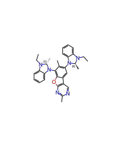 CCN1c2ccccc2N(c2cc3c(oc4nc(C)ncc43)c(N3c4ccccc4N(CC)[C@@H]3C)c2C)[C@@H]1C